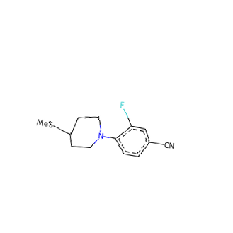 CSC1CCN(c2ccc(C#N)cc2F)CC1